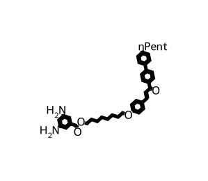 CCCCCc1ccc(-c2ccc(C(=O)/C=C/c3ccc(OCCCCCCCCOC(=O)c4cc(N)cc(N)c4)cc3)cc2)cc1